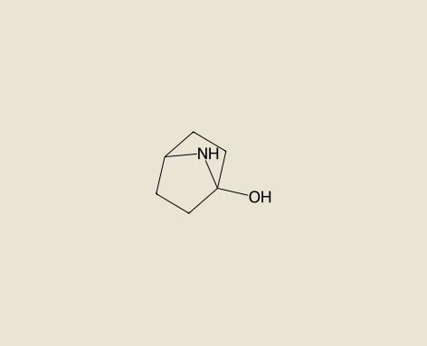 OC12CCC(CC1)N2